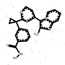 Cc1nc2ccccn2c1-c1ccnc(C2(c3cccc(C(=O)NO)c3)CC2)n1